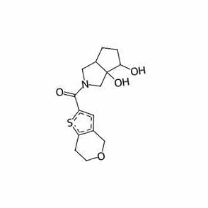 O=C(c1cc2c(s1)CCOC2)N1CC2CCC(O)C2(O)C1